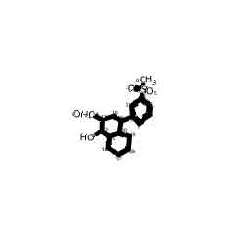 CS(=O)(=O)c1cccc(C2CC(C=O)C(O)C3CCCCC23)c1